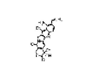 C=Cc1ccc2nc3c(c(CC)c2c1N)Cn1c-3cc2c(c1=O)COC(=O)[C@]2(O)CC